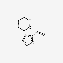 C1CCOOC1.O=Cc1ccco1